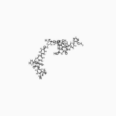 Cc1ncsc1-c1ccc(CNC(=O)[C@@H]2C[C@@H](O)CN2C(=O)[C@@H](NC(=O)CO[C@@H](C)CCCOc2ccc(-c3ccc(N4C(=S)N(c5ccc(C#N)c(C(F)(F)F)c5)C(=O)C4(C)C)cc3)cc2)C(C)(C)C)cc1